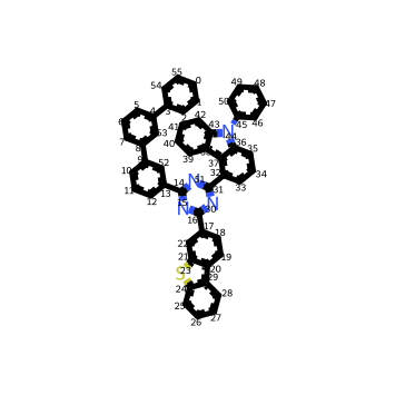 c1ccc(-c2cccc(-c3cccc(-c4nc(-c5ccc6c(c5)sc5ccccc56)nc(-c5cccc6c5c5ccccc5n6-c5ccccc5)n4)c3)c2)cc1